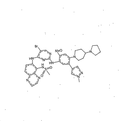 COc1cc(N2CCC(N3CCCC3)CC2)c(-c2cnn(C)c2)cc1Nc1ncc(Br)c(Nc2ccc3nccnc3c2NS(C)(=O)=O)n1